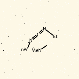 CCCN=C=NCC.CNC